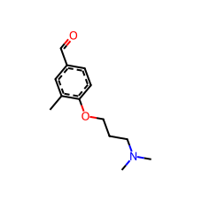 Cc1cc(C=O)ccc1OCCCN(C)C